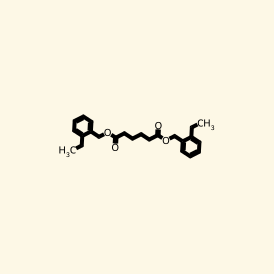 CCc1ccccc1COC(=O)CCCCC(=O)OCc1ccccc1CC